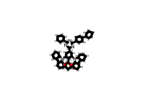 c1ccc(-c2ccc(-c3nc(-c4ccccc4)nc(-c4cc(-n5c6ccccc6c6ccccc65)c(-c5ccccc5)c(-n5c6ccccc6c6ccccc65)c4)n3)cc2)cc1